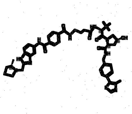 Cc1ncsc1-c1ccc(CNC(=O)[C@@H]2C[C@@H](O)CN2C(=O)[C@@H](NC(=O)CCCNC(=O)c2ccc(C(=O)Nc3ccc4[nH]c(CN5CCC[C@@H]5C)nc4c3)cc2)C(C)(C)C)cc1